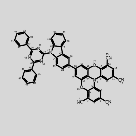 N#Cc1cc(C#N)c2c(c1)N1c3cc(C#N)cc(C#N)c3Oc3cc(-c4ccc5c(c4)c4ccccc4n5-c4nc(-c5ccccc5)nc(-c5ccccc5)n4)cc(c31)O2